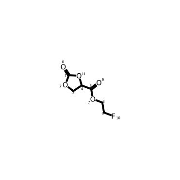 O=C1OCC(C(=O)OCCF)O1